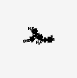 C=C(c1ccc2nc(-c3ccc(C)cc3)c(CC3CCC(C=O)C3)nc2c1)N1CC(c2ccc(F)c(F)c2)C1